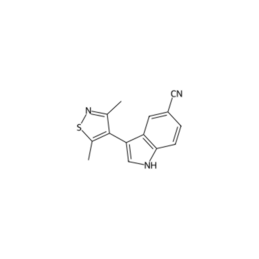 Cc1nsc(C)c1-c1c[nH]c2ccc(C#N)cc12